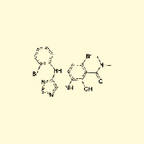 CN(C)C(=O)c1c(Br)ccc(Nc2nsnc2Nc2ccccc2Br)c1O